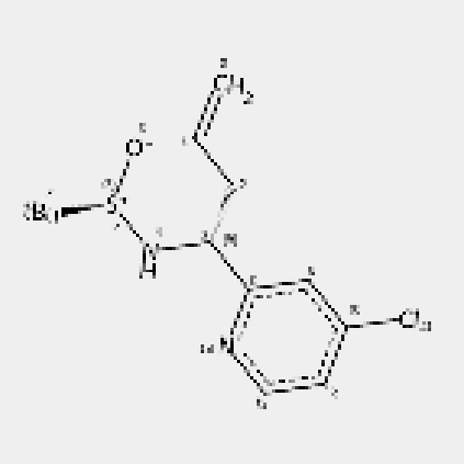 C=CC[C@@H](N[S@+]([O-])C(C)(C)C)c1cc(Cl)ccn1